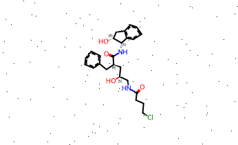 O=C(CCCCl)NC[C@@H](O)C[C@@H](Cc1ccccc1)C(=O)N[C@H]1c2ccccc2C[C@H]1O